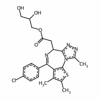 Cc1sc2c(c1C)C(c1ccc(Cl)cc1)=NC(CC(=O)OCC(O)CO)c1nnc(C)n1-2